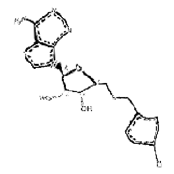 Nc1ncnc2c1ncn2[C@H]1O[C@@H](CSCc2ccc(Cl)cc2)[C@H](O)[C@@H]1O